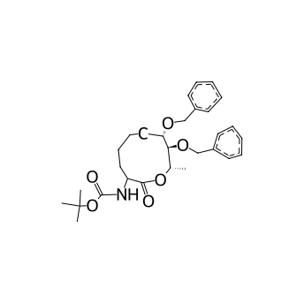 C[C@@H]1OC(=O)C(NC(=O)OC(C)(C)C)CCCC[C@H](OCc2ccccc2)[C@H]1OCc1ccccc1